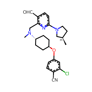 C[C@@H]1CCN(c2ccc(C=O)c(CN(C)[C@H]3CC[C@H](Oc4ccc(C#N)c(Cl)c4)CC3)n2)C1